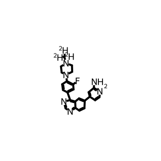 [2H]C([2H])([2H])N1CCN(c2ccc(-c3ncnc4ccc(-c5ccnc(N)c5)cc34)cc2F)CC1